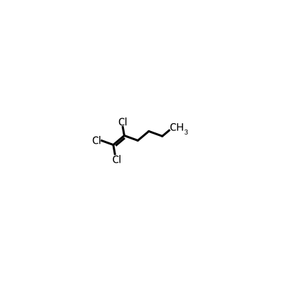 CCCCC(Cl)=C(Cl)Cl